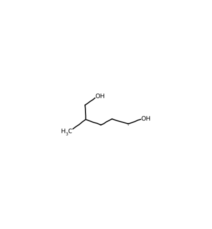 CC(CO)CC[CH]O